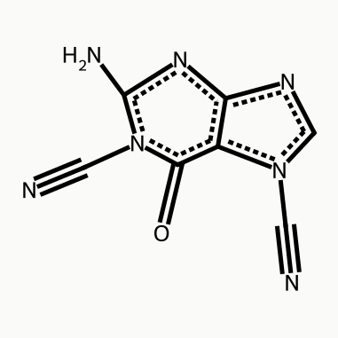 N#Cn1c(N)nc2ncn(C#N)c2c1=O